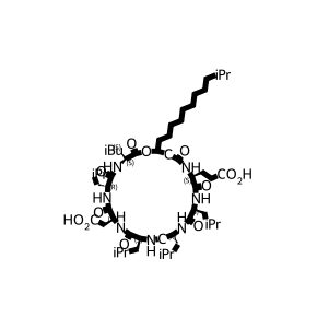 CC[C@H](C)[C@@H]1NC(=O)[C@@H](CC(C)C)NC(=O)[C@H](CC(=O)O)NC(=O)[C@H](CC(C)C)NC[C@@H](CC(C)C)NC(=O)[C@H](CC(C)C)NC(=O)[C@H](CCC(=O)O)NC(=O)CC(CCCCCCCCCC(C)C)OC1=O